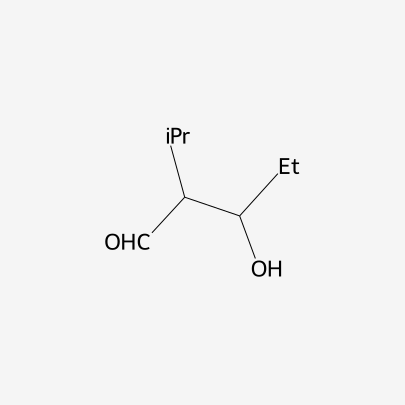 CCC(O)C(C=O)C(C)C